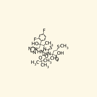 CSCCC(C)(NC(=S)N(NC(=O)OC(C)(C)C)[C@H](C)[C@](O)(Cn1cncn1)c1ccc(F)cc1F)C(=O)O